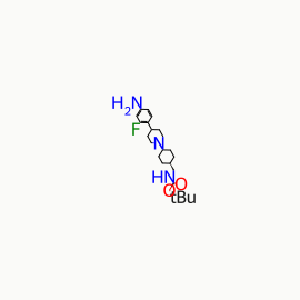 CC(C)(C)OC(=O)NC[C@H]1CC[C@H](N2CCC(c3ccc(N)cc3F)CC2)CC1